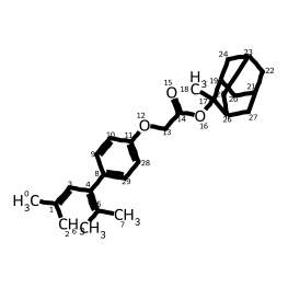 CC(C)=CC(=C(C)C)c1ccc(OCC(=O)OC2(C)C3CC4CC(C3)CC2C4)cc1